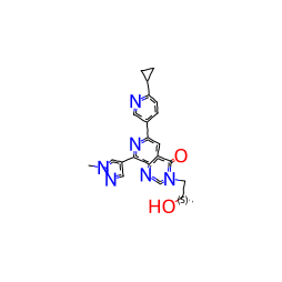 C[C@H](O)Cn1cnc2c(-c3cnn(C)c3)nc(-c3ccc(C4CC4)nc3)cc2c1=O